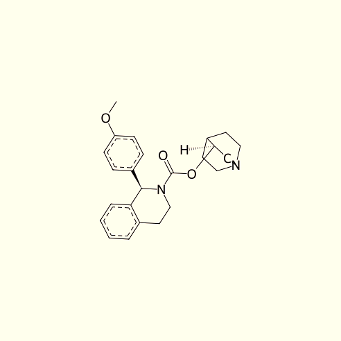 COc1ccc([C@@H]2c3ccccc3CCN2C(=O)O[C@@H]2CN3CCC2CC3)cc1